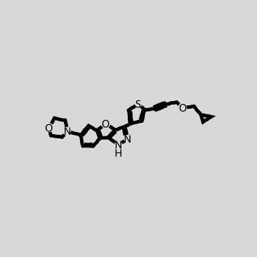 C(#Cc1cc(-c2n[nH]c3c2oc2cc(N4CCOCC4)ccc23)cs1)COCC1CC1